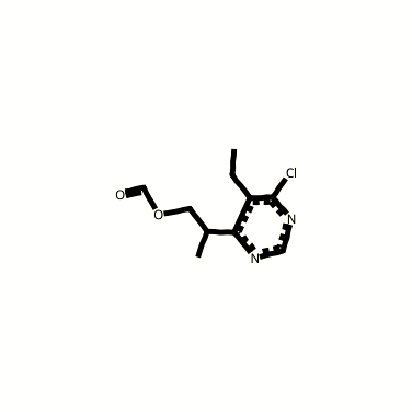 CCc1c(Cl)ncnc1C(C)COC=O